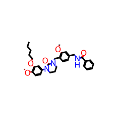 CCCCCOc1cc(N2CCCN(Cc3ccc(CNC(=O)c4ccccc4)cc3OC)C2=O)ccc1OC